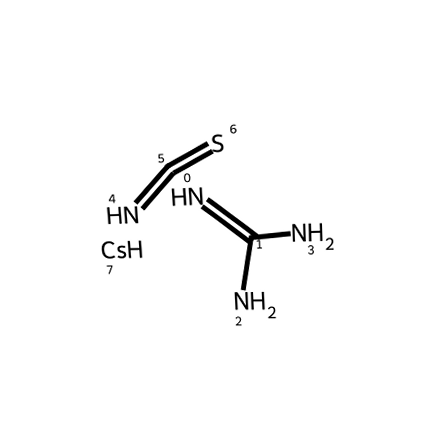 N=C(N)N.N=C=S.[CsH]